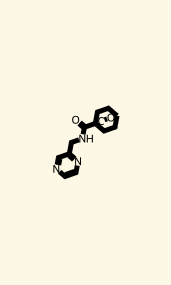 O=C(NCc1cnccn1)C12CCC(CC1)OC2